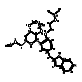 CCCCOC[C@@H]1C[C@H](OCCCC)[C@@H](OCCCC)[C@H](c2cc(Cc3cc4ccccc4s3)ccc2OCCON(C)C)O1